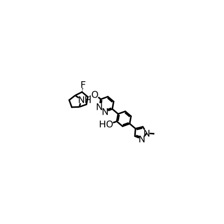 Cn1cc(-c2ccc(-c3ccc(O[C@@H]4CC5CCC(N5)[C@@H]4F)nn3)c(O)c2)cn1